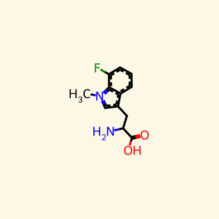 Cn1cc(CC(N)C(=O)O)c2cccc(F)c21